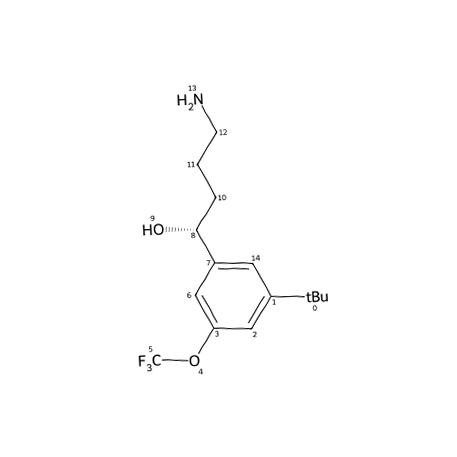 CC(C)(C)c1cc(OC(F)(F)F)cc([C@H](O)CCCN)c1